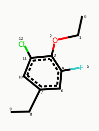 CCOc1c(F)cc(CC)cc1Cl